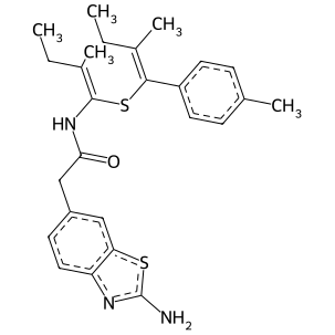 CC/C(C)=C(\S/C(NC(=O)Cc1ccc2nc(N)sc2c1)=C(\C)CC)c1ccc(C)cc1